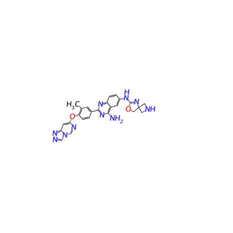 Cc1cc(-c2nc(N)c3cc(NC4=NC5(CNC5)CO4)ccc3n2)ccc1Oc1cc2nncn2cn1